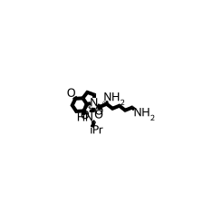 CC(C)CNC(=O)[C@]12C(=O)CCC(=O)C1CCN2C(=O)[C@@H](N)CCCCN